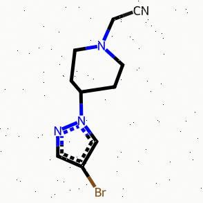 N#CCN1CCC(n2cc(Br)cn2)CC1